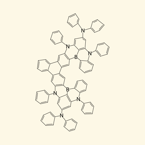 c1ccc(N(c2ccccc2)c2cc3c4c(c2)N(c2ccccc2)c2cc5c6ccccc6c6cc7c(cc6c5cc2B4c2ccccc2N3c2ccccc2)B2c3ccccc3N(c3ccccc3)c3cc(N(c4ccccc4)c4ccccc4)cc(c32)N7c2ccccc2)cc1